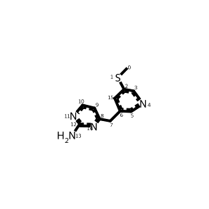 CSc1cncc(Cc2ccnc(N)n2)c1